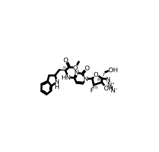 COC(=O)[C@H](CC1Cc2ccccc2N1)Nc1ccn(C2O[C@@](CO)(N=[N+]=[N-])C(O)[C@@H]2F)c(=O)n1